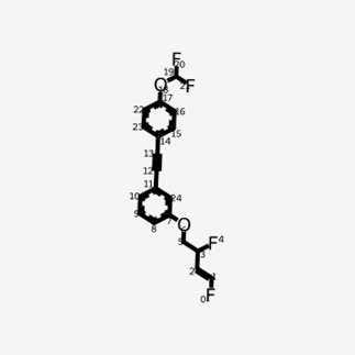 FC=CC(F)COc1cccc(C#Cc2ccc(OC(F)F)cc2)c1